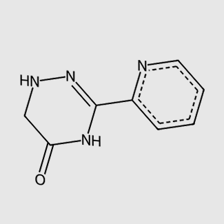 O=C1CNN=C(c2ccccn2)N1